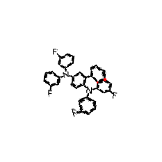 Fc1cccc(N(c2cccc(F)c2)c2ccc(N(c3cccc(F)c3)c3cccc(F)c3)c(-c3ccccc3)c2)c1